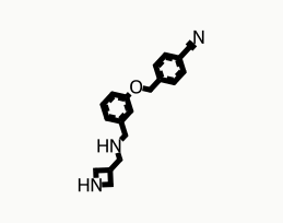 N#Cc1ccc(COc2cccc(CNCC3CNC3)c2)cc1